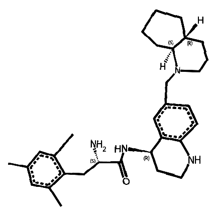 Cc1cc(C)c(C[C@H](N)C(=O)N[C@@H]2CCNc3ccc(CN4CCC[C@H]5CCCC[C@@H]54)cc32)c(C)c1